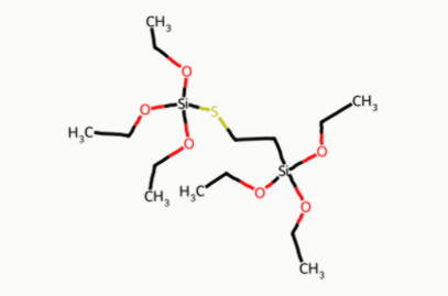 CCO[Si](CCS[Si](OCC)(OCC)OCC)(OCC)OCC